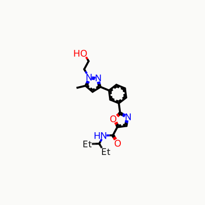 CCC(CC)NC(=O)c1cnc(-c2cccc(-c3cc(C)n(CCO)n3)c2)o1